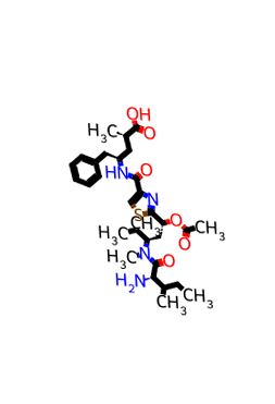 CCC(C)[C@H](N)C(=O)N(C)[C@H](C[C@@H](OC(C)=O)c1nc(C(=O)N[C@@H](Cc2ccccc2)C[C@H](C)C(=O)O)cs1)C(C)C